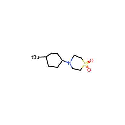 CC(C)(C)C1CCC(N2CCS(=O)(=O)CC2)CC1